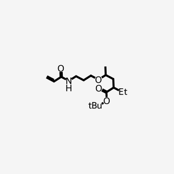 C=CC(=O)NCCCOC(C)CC(CC)C(=O)OC(C)(C)C